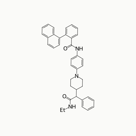 CCNC(=O)C(c1ccccc1)C1CCN(c2ccc(NC(=O)c3ccccc3-c3cccc4ccccc34)cc2)CC1